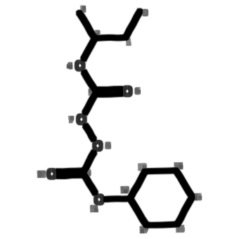 CCC(C)OC(=O)OOC(=O)OC1CCCCC1